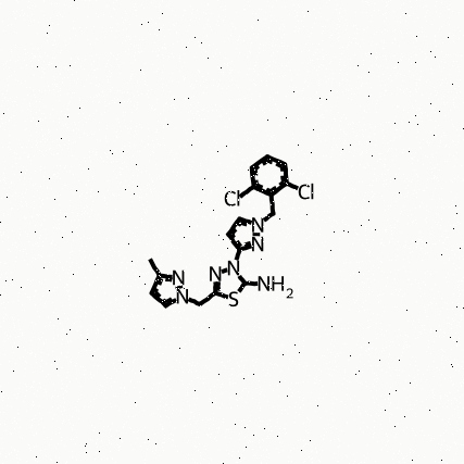 Cc1ccn(CC2=NN(c3ccn(Cc4c(Cl)cccc4Cl)n3)C(N)S2)n1